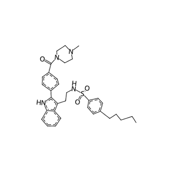 CCCCCc1ccc(S(=O)(=O)NCCc2c(-c3ccc(C(=O)N4CCN(C)CC4)cc3)[nH]c3ccccc23)cc1